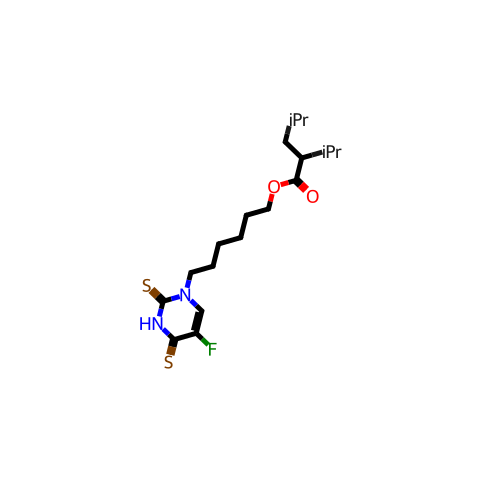 CC(C)CC(C(=O)OCCCCCCn1cc(F)c(=S)[nH]c1=S)C(C)C